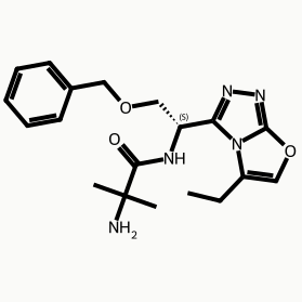 CCc1coc2nnc([C@@H](COCc3ccccc3)NC(=O)C(C)(C)N)n12